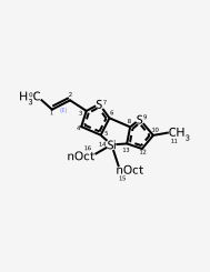 C/C=C/c1cc2c(s1)-c1sc(C)cc1[Si]2(CCCCCCCC)CCCCCCCC